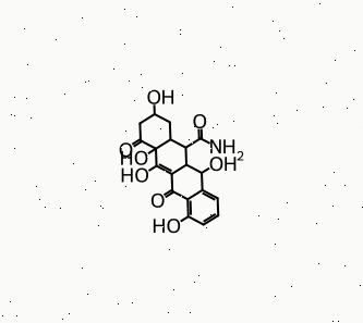 NC(=O)C1C2C(=C(O)C3(O)C(=O)CC(O)CC13)C(=O)c1c(O)cccc1C2O